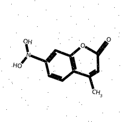 Cc1cc(=O)oc2cc(N(O)O)ccc12